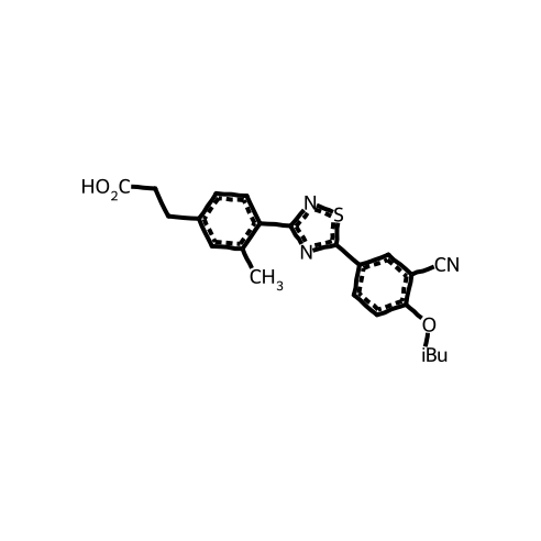 CCC(C)Oc1ccc(-c2nc(-c3ccc(CCC(=O)O)cc3C)ns2)cc1C#N